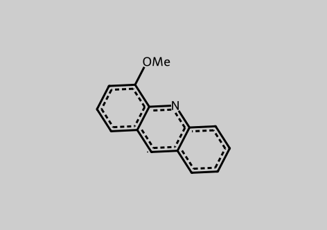 COc1cccc2[c]c3ccccc3nc12